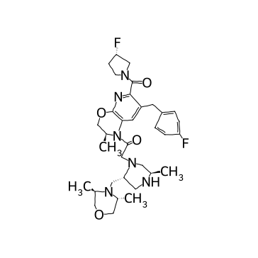 C[C@@H]1CN(CC(=O)N2c3cc(Cc4ccc(F)cc4)c(C(=O)N4CC[C@H](F)C4)nc3OC[C@@H]2C)[C@@H](CN2[C@H](C)COC[C@H]2C)CN1